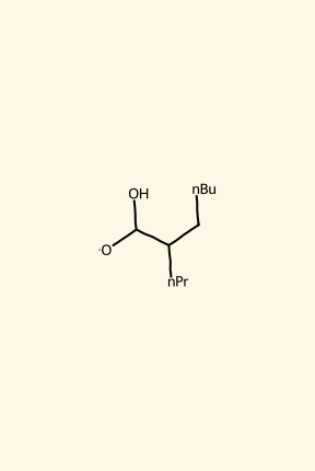 CCCCCC(CCC)C([O])O